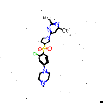 CN1CCN(c2ccc(S(=O)(=O)C3CCN(c4cc(C(F)(F)F)nc(C#N)n4)C3)c(Cl)c2)CC1